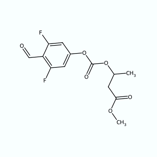 COC(=O)CC(C)OC(=O)Oc1cc(F)c(C=O)c(F)c1